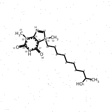 CC(O)CCCCCCCC[N+]1(C)C=Nc2c1c(=O)[nH]c(=O)n2C